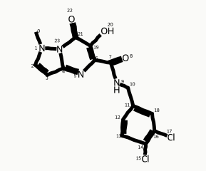 Cn1ccc2nc(C(=O)NCc3ccc(Cl)c(Cl)c3)c(O)c(=O)n21